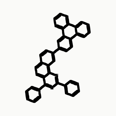 c1ccc(-c2nc(-c3ccccc3)c3ccc4ccc(-c5ccc6c7ccccc7c7ccccc7c6c5)cc4c3n2)cc1